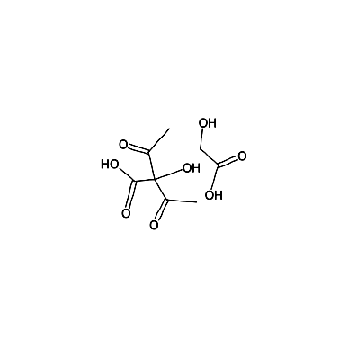 CC(=O)C(O)(C(C)=O)C(=O)O.O=C(O)CO